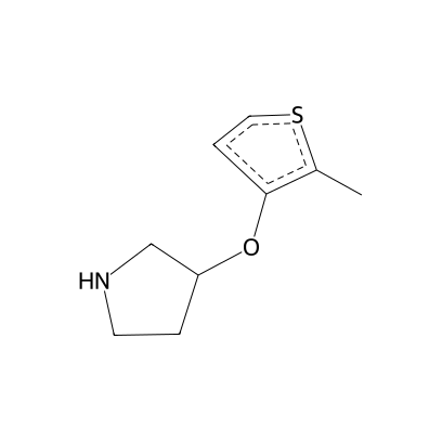 Cc1sccc1OC1CCNC1